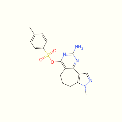 Cc1ccc(S(=O)(=O)Oc2nc(N)nc3c2CCCc2c-3cnn2C)cc1